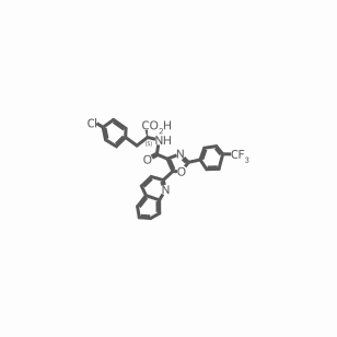 O=C(N[C@@H](Cc1ccc(Cl)cc1)C(=O)O)c1nc(-c2ccc(C(F)(F)F)cc2)oc1-c1ccc2ccccc2n1